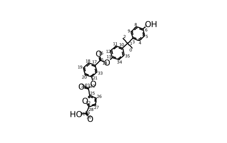 CC(C)(c1ccc(O)cc1)c1ccc(OC(=O)c2cccc(OC(=O)c3ccc(C(=O)O)o3)c2)cc1